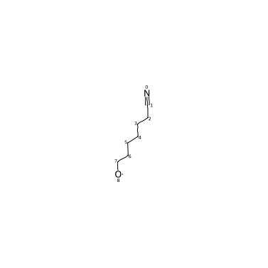 N#CCCCCCC[O]